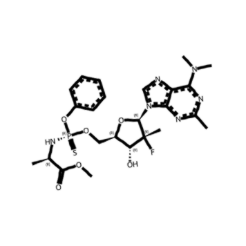 COC(=O)[C@@H](C)N[P@@](=S)(OC[C@H]1O[C@@H](n2cnc3c(N(C)C)nc(C)nc32)[C@](C)(F)[C@@H]1O)Oc1ccccc1